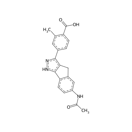 CC(=O)Nc1ccc2c(c1)Cc1c(-c3ccc(C(=O)O)c(C)c3)n[nH]c1-2